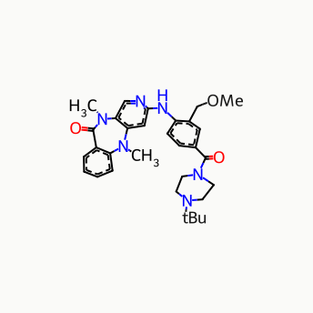 COCc1cc(C(=O)N2CCN(C(C)(C)C)CC2)ccc1Nc1cc2c(cn1)N(C)C(=O)c1ccccc1N2C